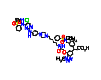 Cc1ccc(C(CC(=O)O)c2cc(OCC(=O)NCCCCCCN3CCN(c4ccc(Nc5ncc(Cl)c(Nc6ccccc6S(=O)(=O)C(C)C)n5)cc4)CC3)c3c(c2)nnn3C)cc1CN(C)S(=O)(=O)c1ccccc1